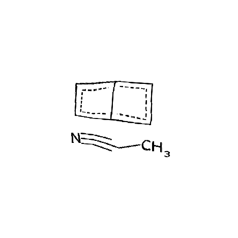 CC#N.c1cc2ccc1-2